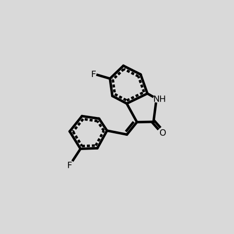 O=C1Nc2ccc(F)cc2/C1=C\c1cccc(F)c1